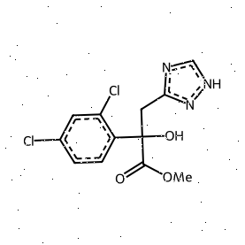 COC(=O)C(O)(Cc1nc[nH]n1)c1ccc(Cl)cc1Cl